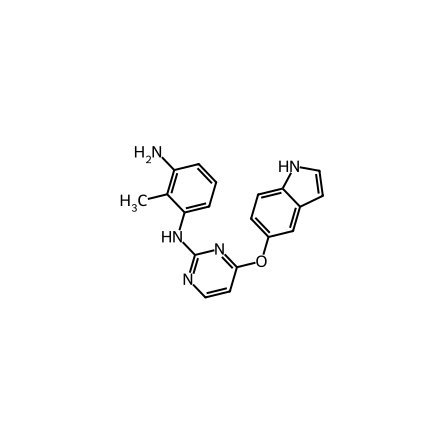 Cc1c(N)cccc1Nc1nccc(Oc2ccc3[nH]ccc3c2)n1